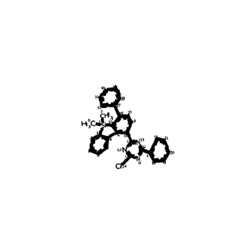 C[Si]1(C)c2ccccc2-c2c(-c3nc(Cl)nc(-c4ccccc4)n3)ccc(-c3ccccc3)c21